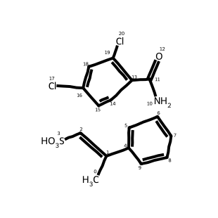 C/C(=C\S(=O)(=O)O)c1ccccc1.NC(=O)c1ccc(Cl)cc1Cl